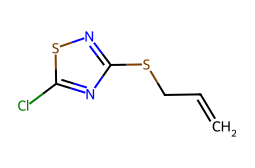 C=CCSc1nsc(Cl)n1